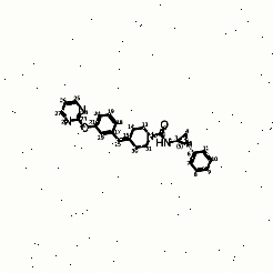 O=C(N[C@H]1C[C@@H]1c1ccccc1)N1CCC(=Cc2cccc(Oc3ncccn3)c2)CC1